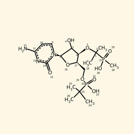 CC(C)(O[C@@H]1C(O)[C@H](n2ccc(N)nc2=O)O[C@@H]1COP(=O)(O)C(C)(C)C)P(C)(=O)O